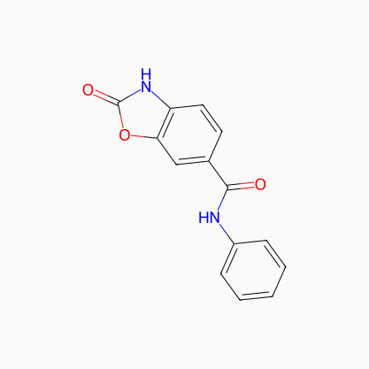 O=C(Nc1ccccc1)c1ccc2[nH]c(=O)oc2c1